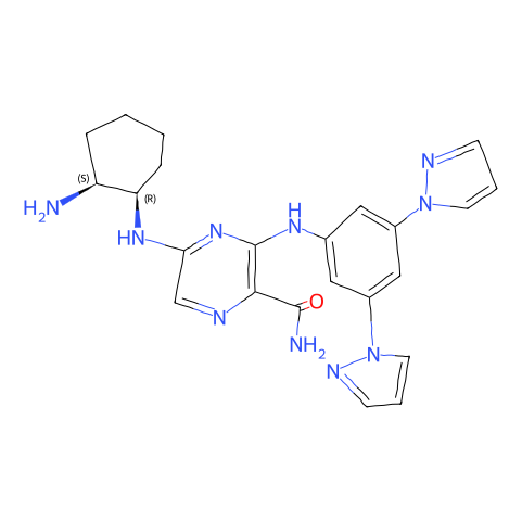 NC(=O)c1ncc(N[C@@H]2CCCC[C@@H]2N)nc1Nc1cc(-n2cccn2)cc(-n2cccn2)c1